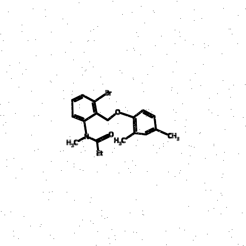 CCC(=O)N(C)c1cccc(Br)c1COc1ccc(C)cc1C